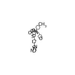 C[C@H]1CC[C@H](C(=O)N(CC2CCOCC2)c2cc(-c3ccc(-c4cc5ncccn5n4)cc3)sc2C(=O)O)CC1